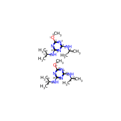 COc1nc(NC(C)C)nc(NC(C)C)n1.COc1nc(NC(C)C)nc(NC(C)C)n1